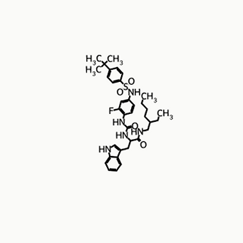 CCCCC(CC)CNC(=O)C(Cc1c[nH]c2ccccc12)NC(=O)Nc1ccc(NS(=O)(=O)c2ccc(C(C)(C)C)cc2)cc1F